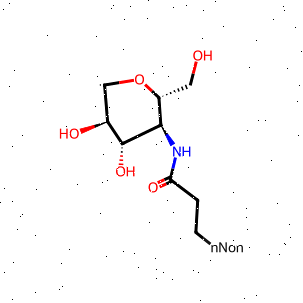 CCCCCCCCCCCC(=O)N[C@H]1[C@H](O)[C@@H](O)[CH]O[C@@H]1CO